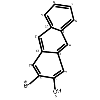 Oc1cc2cc3ccccc3cc2cc1Br